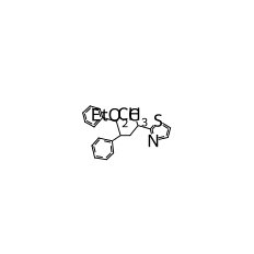 CCOC(=O)C(CC(c1ccccc1)C(C)c1ccccc1)c1nccs1